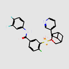 O=C(Nc1ccc(F)c(F)c1)c1ccc(Cl)c(S(=O)(=O)C2CC3CC(C2)C3(O)[C@H](O)c2cccnc2)c1